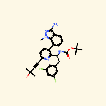 Cn1nc(N)c2cccc(-c3ccc(C#CC(C)(C)O)nc3[C@H](Cc3cc(F)cc(F)c3)NC(=O)OC(C)(C)C)c21